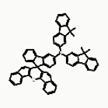 CC1(C)c2ccccc2-c2ccc(N(c3ccc4c(c3)-c3ccccc3C43c4ccc5ccccc5c4Oc4c3ccc3ccccc43)c3ccc4c(c3)C(C)(C)c3ccccc3-4)cc21